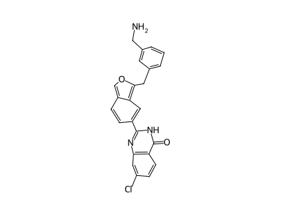 NCc1cccc(Cc2occ3ccc(-c4nc5cc(Cl)ccc5c(=O)[nH]4)cc23)c1